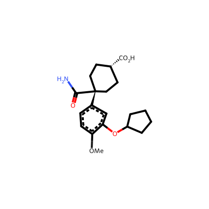 COc1ccc([C@]2(C(N)=O)CC[C@@H](C(=O)O)CC2)cc1OC1CCCC1